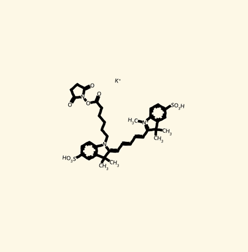 C[N+]1=C(C=CC=CC=C2N(CCCCCC(=O)ON3C(=O)CCC3=O)c3ccc(S(=O)(=O)O)cc3C2(C)C)C(C)(C)c2cc(S(=O)(=O)O)ccc21.[K+]